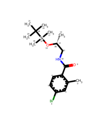 Cc1cc(Br)ccc1C(=O)NC[C@@H](C)O[Si](C)(C)C(C)(C)C